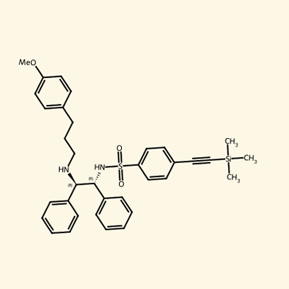 COc1ccc(CCCN[C@H](c2ccccc2)[C@H](NS(=O)(=O)c2ccc(C#C[Si](C)(C)C)cc2)c2ccccc2)cc1